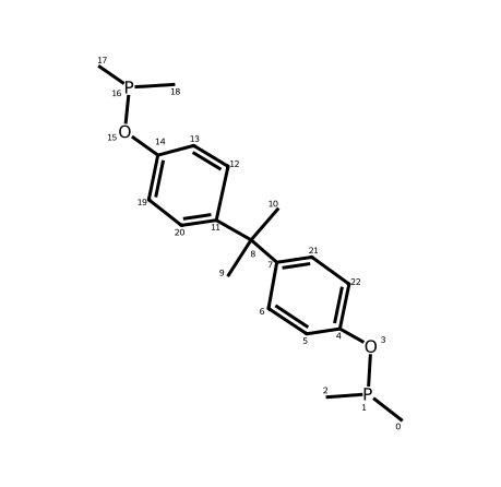 CP(C)Oc1ccc(C(C)(C)c2ccc(OP(C)C)cc2)cc1